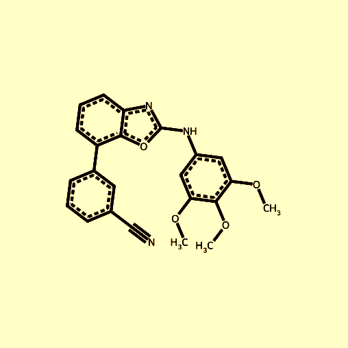 COc1cc(Nc2nc3cccc(-c4cccc(C#N)c4)c3o2)cc(OC)c1OC